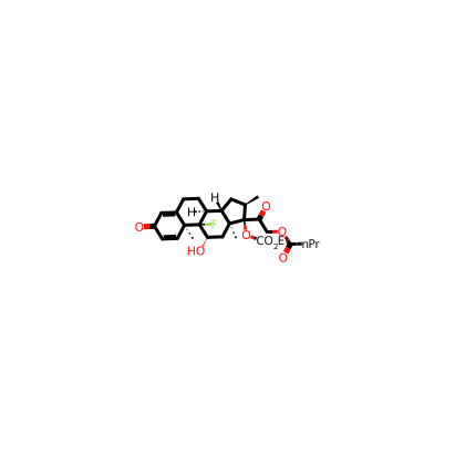 CCCC(=O)OCC(=O)[C@@]1(OC(=O)OCC)[C@H](C)C[C@H]2[C@@H]3CCC4=CC(=O)C=C[C@]4(C)[C@@]3(F)[C@@H](O)C[C@@]21C